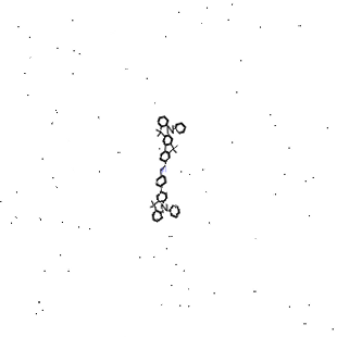 CC1(C)c2cc(/C=C/c3ccc(-c4ccc5c(c4)C(C)(C)c4ccccc4N5c4ccccc4)cc3)ccc2-c2cc3c(cc21)N(c1ccccc1)c1ccccc1C3(C)C